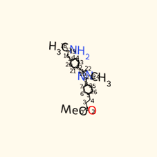 COC(=O)CCc1ccc(-c2nc(-c3ccc(CC(C)N)cc3)cn2C)cc1